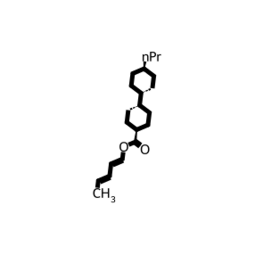 C/C=C/C=COC(=O)[C@H]1CC[C@H]([C@H]2CC[C@H](CCC)CC2)CC1